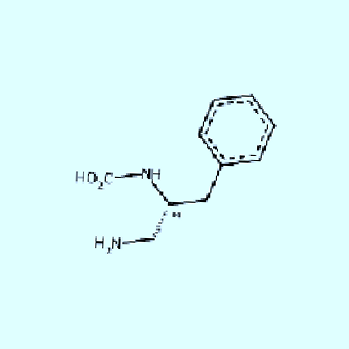 NC[C@@H](Cc1ccccc1)NC(=O)O